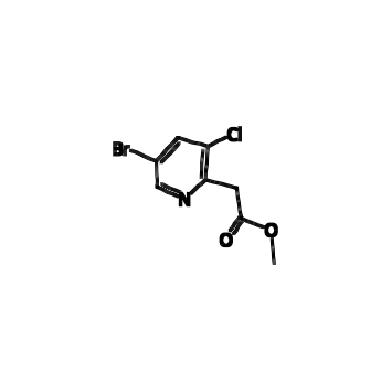 COC(=O)Cc1ncc(Br)cc1Cl